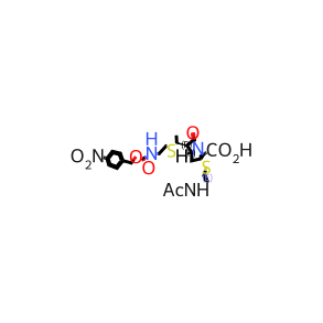 CC(=O)N/C=C/SC1=C(C(=O)O)N2C(=O)[C@H](C(C)SCCNC(=O)OCc3ccc([N+](=O)[O-])cc3)[C@H]2C1